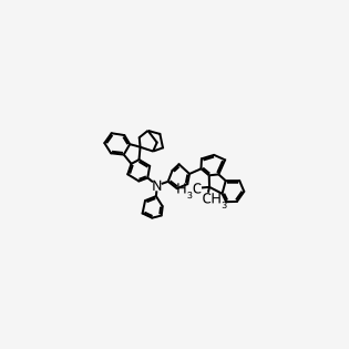 CC1(C)c2ccccc2-c2cccc(-c3ccc(N(c4ccccc4)c4ccc5c(c4)C4(CC6CCC4C6)c4ccccc4-5)cc3)c21